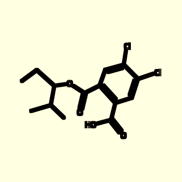 CCC(OC(=O)c1cc(Cl)c(Cl)cc1C(=O)O)C(C)C